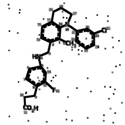 Cc1c(CNc2ccc(CCC(=O)O)c(F)c2)ccc2c1N(c1cccc(Cl)c1)CCC2